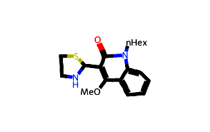 CCCCCCn1c(=O)c(C2NCCS2)c(OC)c2ccccc21